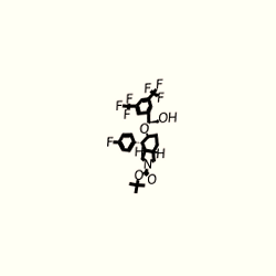 CC(C)(C)OC(=O)N1C[C@H]2CC[C@H](O[C@H](CO)c3cc(C(F)(F)F)cc(C(F)(F)F)c3)[C@@H](c3ccc(F)cc3)[C@@H]2C1